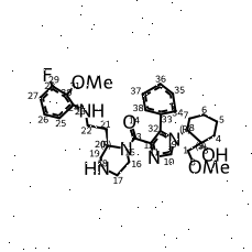 COC[C@]1(O)CCCC[C@H]1n1cnc(C(=O)N2CCNC[C@H]2CCNc2cccc(F)c2OC)c1-c1ccccc1